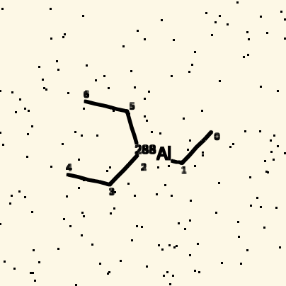 C[CH2][288Al]([CH2]C)[CH2]C